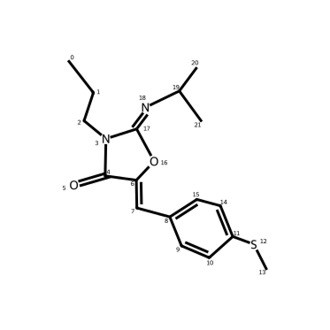 CCCN1C(=O)C(=Cc2ccc(SC)cc2)OC1=NC(C)C